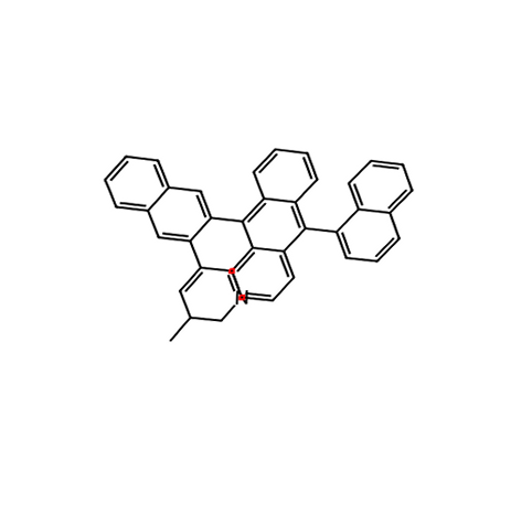 CC1C=C(c2cc3ccccc3cc2-c2c3ccccc3c(-c3cccc4ccccc34)c3ccccc23)C=NC1